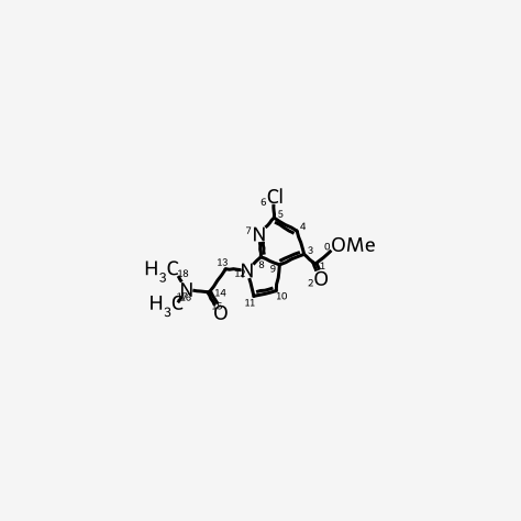 COC(=O)c1cc(Cl)nc2c1ccn2CC(=O)N(C)C